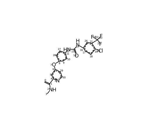 C=C(NC)c1cc(Oc2ccc(NC(=O)Nc3ccc(Cl)c(C(F)(F)F)c3)cc2)ccn1